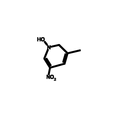 CC1=CC([N+](=O)[O-])=CN(O)C1